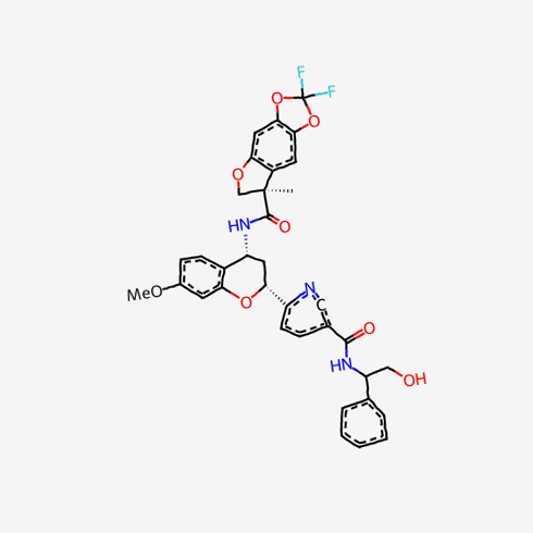 COc1ccc2c(c1)O[C@@H](c1ccc(C(=O)NC(CO)c3ccccc3)cn1)C[C@H]2NC(=O)[C@@]1(C)COc2cc3c(cc21)OC(F)(F)O3